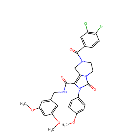 COc1ccc(-n2c(C(=O)NCc3cc(OC)cc(OC)c3)c3n(c2=O)CCN(C(=O)c2ccc(Br)c(Cl)c2)C3)cc1